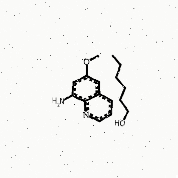 CCCCCCO.COc1cc(N)c2ncccc2c1